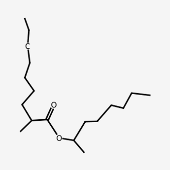 CCCCCCCC(C)C(=O)OC(C)CCCCCC